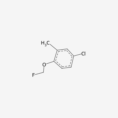 Cc1cc(Cl)ccc1OCF